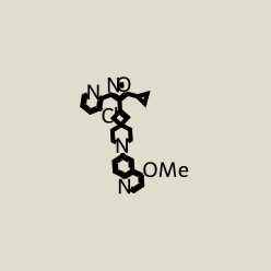 COc1ccnc2ccc(N3CCC4(C=C(c5c(-c6ncccc6Cl)noc5C5CC5)C4)CC3)cc12